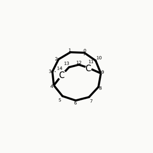 [CH]1CC[CH]C2CCCCC(C1)CCCC2